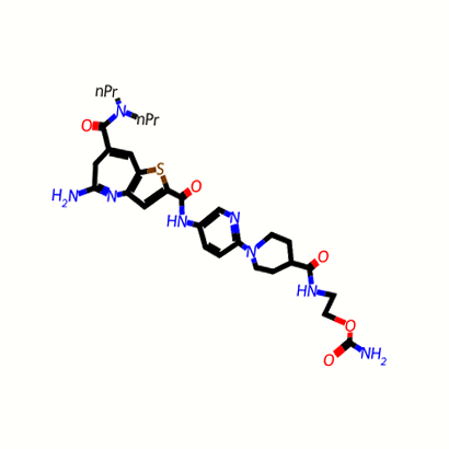 CCCN(CCC)C(=O)C1=Cc2sc(C(=O)Nc3ccc(N4CCC(C(=O)NCCOC(N)=O)CC4)nc3)cc2N=C(N)C1